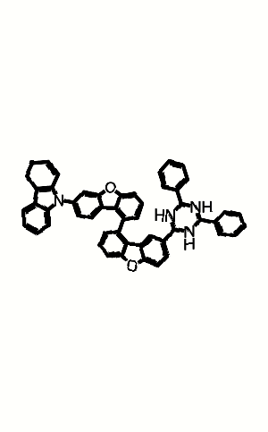 C1=Cc2c(c3ccccc3n2-c2ccc3c(c2)oc2cccc(-c4cccc5oc6ccc(C7NC(c8ccccc8)NC(c8ccccc8)N7)cc6c45)c23)CC1